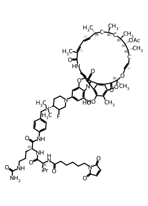 CC(=O)O[C@@H]1[C@H](C)C/C=C/O[C@@]2(C)Oc3c(C)c(O)c4c(=O)c(c5oc6cc(N7CCC([N+](C)(C)Cc8ccc(NC(=O)[C@H](CCCNC(N)=O)NC(=O)[C@@H](NC(=O)CCCCCN9C(=O)C=CC9=O)C(C)C)cc8)C(F)C7)cc(O)c6nc-5c4c3C2=O)NC(=O)/C(C)=C\C=C\[C@H](C)C[C@@H](C)C[C@H]1C